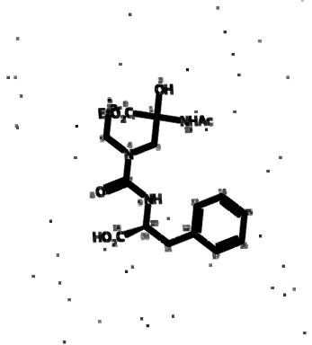 CCOC(=O)C(O)(CN(CC(C)C)C(=O)N[C@@H](Cc1ccccc1)C(=O)O)NC(C)=O